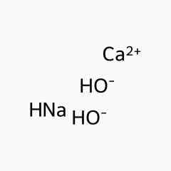 [Ca+2].[NaH].[OH-].[OH-]